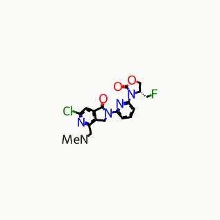 CNCc1nc(Cl)cc2c1CN(c1cccc(N3C(=O)OC[C@@H]3CF)n1)C2=O